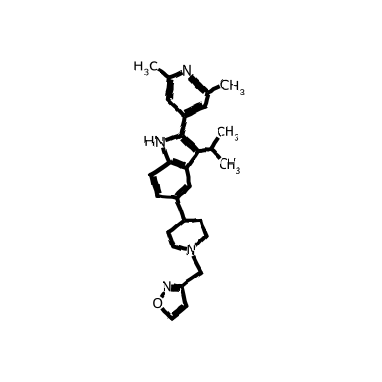 Cc1cc(-c2[nH]c3ccc(C4CCN(Cc5ccon5)CC4)cc3c2C(C)C)cc(C)n1